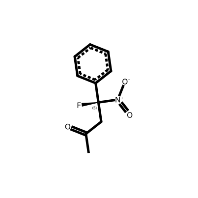 CC(=O)C[C@](F)(c1ccccc1)[N+](=O)[O-]